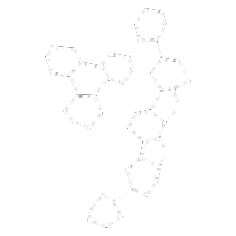 c1ccc(-c2ccc3oc4c(ccc5c6cc(-c7ccccc7-c7ccc8c9ccccc9c9ccccc9c8c7)ccc6oc54)c3c2)cc1